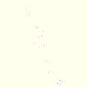 N/N=C(/COCC(=O)NSCCCC(=O)NCCOCCOCC(=O)N[C@@H](CCC(=O)NC(CCC(=O)NCCOCCOCC(=O)NCC(=O)O)C(=O)O)C(=O)O)NN